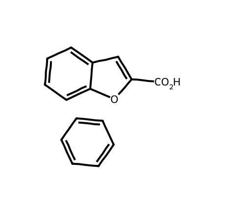 O=C(O)c1cc2ccccc2o1.c1ccccc1